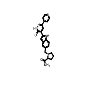 NC(=O)C1CCCN1Cc1ccc2[nH]c(-c3cc(-c4ccncc4)n[nH]c3=O)cc2c1